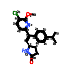 COc1nc(/C(=C/[C@H]2CCC(=O)N2)c2ccc(C(C)C)cc2)ccc1Cl